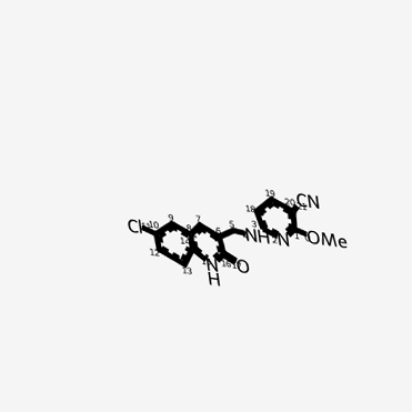 COc1nc(NCc2cc3cc(Cl)ccc3[nH]c2=O)ccc1C#N